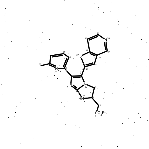 CCOC(=O)CC1Cn2c(nc(-c3cccc(C)n3)c2-c2cc3cnccc3s2)N1